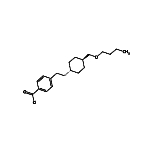 CCCCOC[C@H]1CC[C@H](CCc2ccc(C(=O)Cl)cc2)CC1